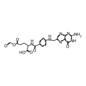 Nc1nc2ncc(CNc3ccc(C(=O)NC(CCC(=O)OC=O)C(=O)O)cc3)nc2c(=O)[nH]1